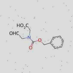 O=CCN(CC(=O)O)C(=O)OCc1ccccc1